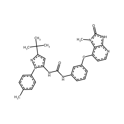 Cc1ccc(-n2nc(C(C)(C)C)cc2NC(=O)Nc2cccc(Oc3ccnc4[nH]c(=O)n(C)c34)c2)cc1